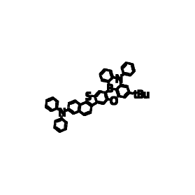 CC(C)(C)c1cc2c3c(c1)N(c1ccccc1)c1ccccc1B3c1cc3sc4c5ccc(N(c6ccccc6)c6ccccc6)cc5ccc4c3cc1O2